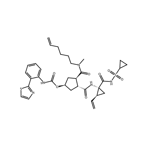 C=CCCCCN(C)C(=O)[C@@H]1C[C@H](OC(=O)Nc2ccccc2-c2nccs2)C[C@H]1C(=O)N[C@]1(C(=O)NS(=O)(=O)C2CC2)C[C@H]1C=C